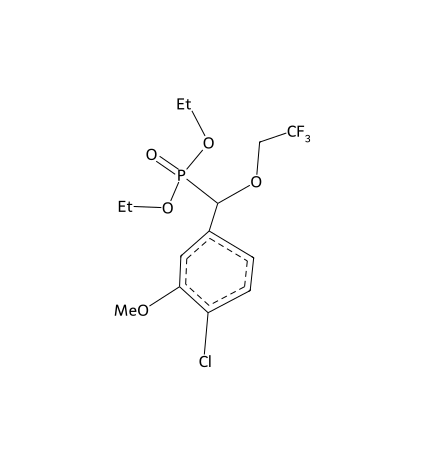 CCOP(=O)(OCC)C(OCC(F)(F)F)c1ccc(Cl)c(OC)c1